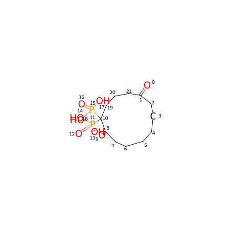 O=C1CCCCCCC(=O)C(P(=O)(O)O)(P(=O)(O)O)CCC1